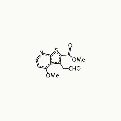 COC(=O)c1sc2nccc(OC)c2c1CC=O